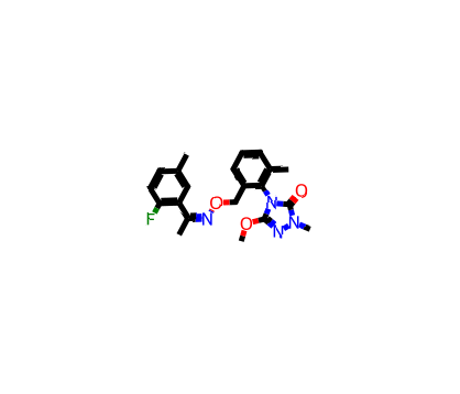 COc1nn(C)c(=O)n1-c1c(C)cccc1CO/N=C(/C)c1cc(C)ccc1F